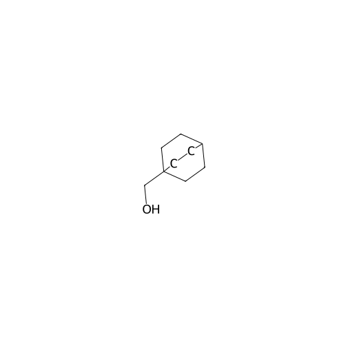 OCC12CCC(CC1)CC2